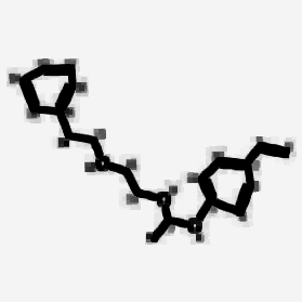 C=Cc1ccc(OC(C)OCCOCCc2ccccc2)cc1